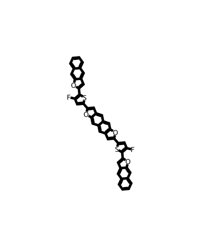 Fc1cc(-c2cc3cc4cc5oc(-c6cc(F)c(-c7cc8cc9ccccc9cc8o7)s6)cc5cc4cc3o2)sc1-c1cc2cc3ccccc3cc2o1